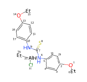 CCOc1ccc(NC(=S)Nc2ccc(OCC)cc2)cc1.C[CH2][AlH][Cl]